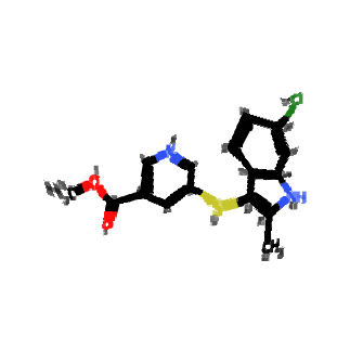 COC(=O)c1cncc(Sc2c(C)[nH]c3cc(Cl)ccc23)c1